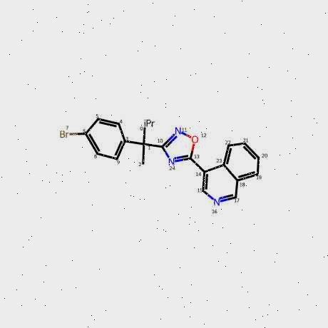 CC(C)C(C)(c1ccc(Br)cc1)c1noc(-c2cncc3ccccc23)n1